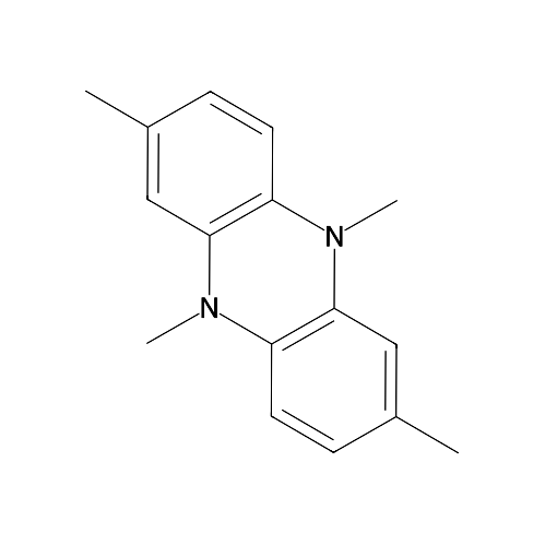 Cc1ccc2c(c1)N(C)c1ccc(C)cc1N2C